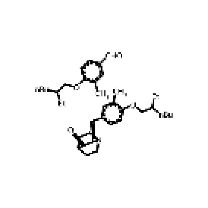 CCCCC(CC)COc1ccc(C=C2C(=O)C3CCN2CC3)cc1C.CCCCC(CC)COc1ccc(C=O)cc1C